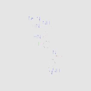 Cc1c2c(cc(Cl)c1C(=O)N[C@H](C)CN/C(N)=N\C#N)CN(C(=O)c1ccc3cn[nH]c3c1)CC2